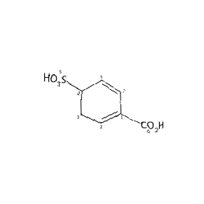 O=C(O)C1=CCC(S(=O)(=O)O)C=C1